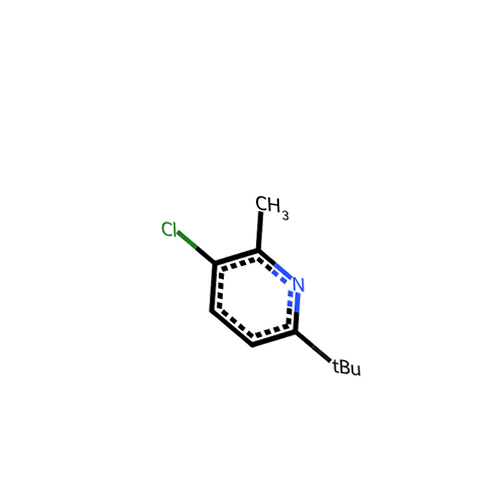 Cc1nc(C(C)(C)C)ccc1Cl